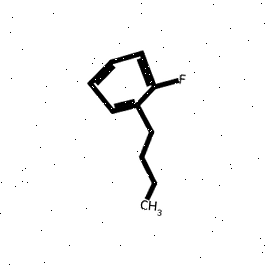 CCCCc1ccccc1F